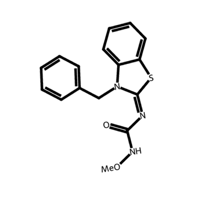 CONC(=O)N=c1sc2ccccc2n1Cc1ccccc1